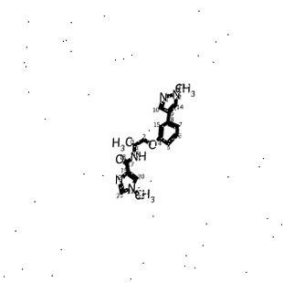 C[C@H](COc1c[c]cc(-c2cnn(C)c2)c1)NC(=O)c1cn(C)cn1